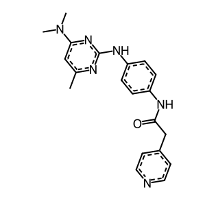 Cc1cc(N(C)C)nc(Nc2ccc(NC(=O)Cc3ccncc3)cc2)n1